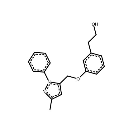 Cc1cc(COc2cccc(CCO)c2)n(-c2ccccc2)n1